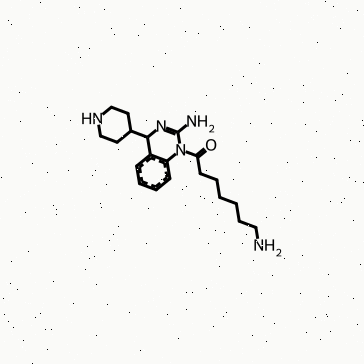 NCCCCCCC(=O)N1C(N)=NC(C2CCNCC2)c2ccccc21